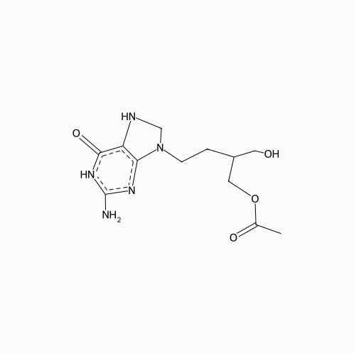 CC(=O)OCC(CO)CCN1CNc2c1nc(N)[nH]c2=O